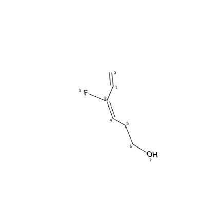 C=C/C(F)=C\CCO